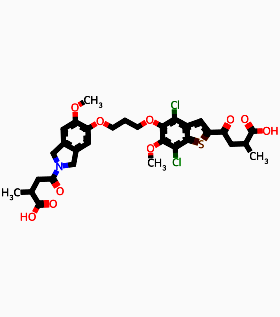 COc1cc2c(cc1OCCCOc1c(OC)c(Cl)c3sc(C(=O)CC(C)C(=O)O)cc3c1Cl)CN(C(=O)CC(C)C(=O)O)C2